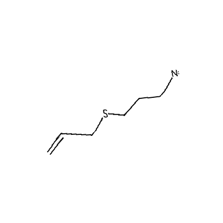 C=CCSCCC[N]